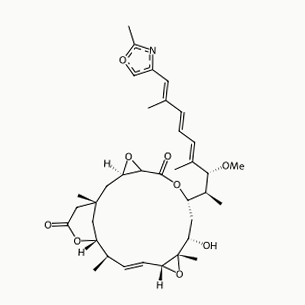 CO[C@@H](/C(C)=C/C=C/C(C)=C/c1coc(C)n1)[C@@H](C)[C@@H]1C[C@H](O)[C@]2(C)O[C@@H]2/C=C/[C@@H](C)[C@H]2C[C@](C)(CC(=O)O2)C[C@H]2OC2C(=O)O1